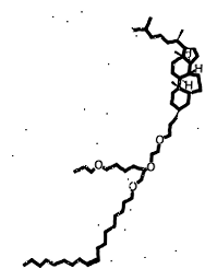 CCCCCCCC/C=C\CCCCCCCCOCC(CCCCOCCC)OCCOCCC[C@H]1CC[C@@]2(C)C(CC[C@H]3[C@@H]4CC[C@H]([C@H](C)CCCC(C)C)[C@@]4(C)CC[C@@H]32)C1